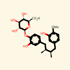 COc1ccc(C[C@@H](C)[C@@H](C)Cc2ccc(O[C@@H]3O[C@H](C(=O)O)[C@@H](O)[C@H](O)[C@H]3O)c(O)c2)cc1O